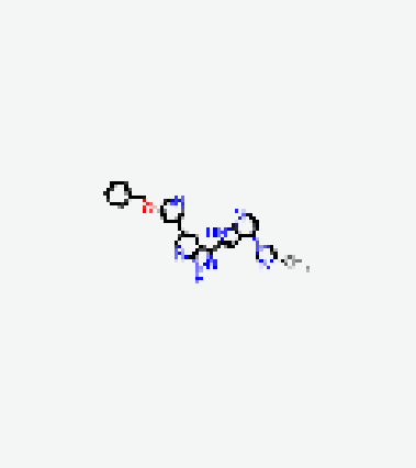 Cc1cn(-c2ccnc3[nH]c(-c4n[nH]c5ncc(-c6cncc(OCc7ccccc7)c6)cc45)cc23)cn1